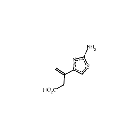 C=C(CC(=O)O)c1csc(N)n1